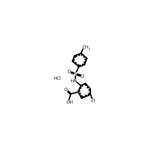 Cc1ccc(S(=O)(=O)Nc2ccc(Cl)cc2C(=O)O)cc1.Cl